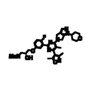 CNC[C@@H](O)COc1ccc(F)c(-c2nc(-c3c(C)noc3C)c(C)c(N3Cc4cnn(C5CCOCC5)c4C3)n2)c1